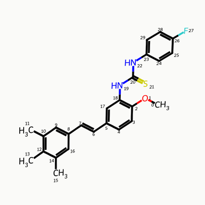 COc1ccc(C=Cc2cc(C)c(C)c(C)c2)cc1NC(=S)Nc1ccc(F)cc1